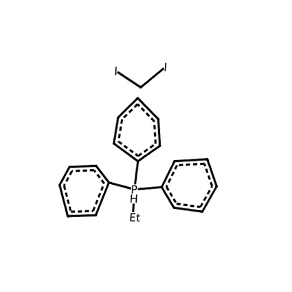 CC[PH](c1ccccc1)(c1ccccc1)c1ccccc1.ICI